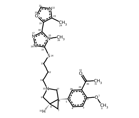 COc1ccc([C@]23C[C@H]2CN(CCCSc2nnc(-c4ocnc4C)n2C)C3)cc1C(C)=O